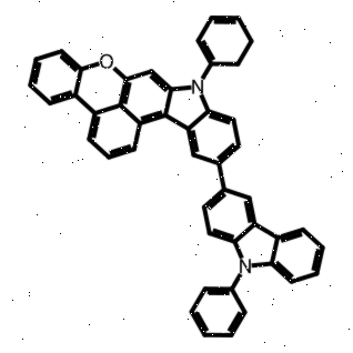 C1=CCCC(n2c3ccc(-c4ccc5c(c4)c4ccccc4n5-c4ccccc4)cc3c3c4cccc5c4c(cc32)Oc2ccccc2-5)=C1